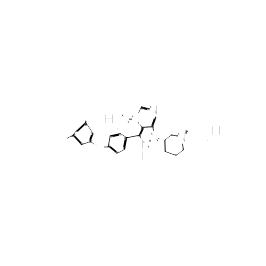 NN1C=NC=C2C1=C(c1ccc(Oc3cc(F)cc(F)c3)cc1)NN2[C@@H]1CCCN(C(=O)O)C1